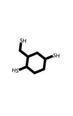 SCC1CC(S)CCC1S